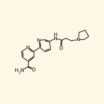 NC(=O)c1ccnc(-c2ccc(NC(=O)CCN3CCCC3)cn2)c1